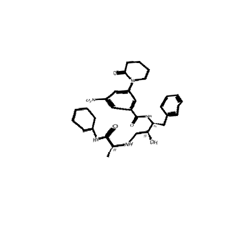 C[C@H](NC[C@H](O)[C@H](Cc1ccccc1)NC(=O)c1cc(N2CCCCC2=O)cc([N+](=O)[O-])c1)C(=O)NC1CCCCC1